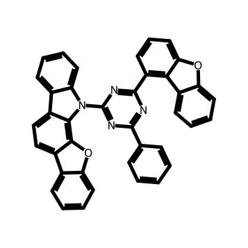 c1ccc(-c2nc(-c3cccc4oc5ccccc5c34)nc(-n3c4ccccc4c4ccc5c6ccccc6oc5c43)n2)cc1